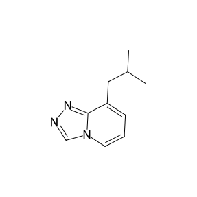 CC(C)Cc1cccn2cnnc12